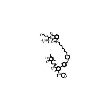 CCN(c1cc(-c2ccc(CN3CCN(CCCCCCCNc4cccc5c4C(=O)N(C(CCC=O)C(N)=O)C5=O)CC3)cc2)cc(C(=O)NCc2c(C)cc(C)[nH]c2=O)c1C)C1CCOCC1